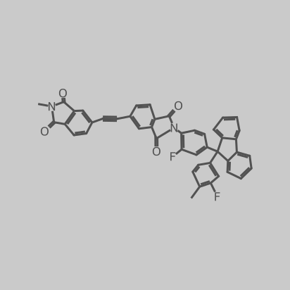 Cc1ccc(C2(c3ccc(N4C(=O)c5ccc(C#Cc6ccc7c(c6)C(=O)N(C)C7=O)cc5C4=O)c(F)c3)c3ccccc3-c3ccccc32)cc1F